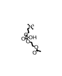 CC(=O)OCCOP(=O)(O)OCC[N+](C)(C)C